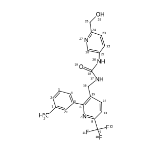 Cc1cccc(-c2nc(C(F)(F)F)ccc2CNC(=O)Nc2ccc(CO)nc2)c1